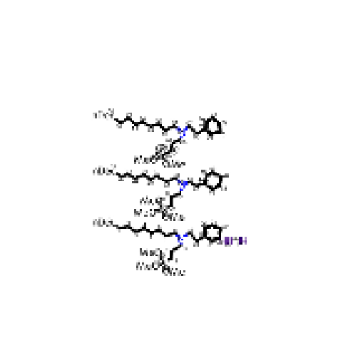 CCCCCCCCCCCCCCCCCCN(CCC[Si](OC)(OC)OC)CCc1ccccc1.CCCCCCCCCCCCCCCCCCN(CCC[Si](OC)(OC)OC)CCc1ccccc1.CCCCCCCCCCCCCCCCCCN(CCC[Si](OC)(OC)OC)CCc1ccccc1.I.I.I